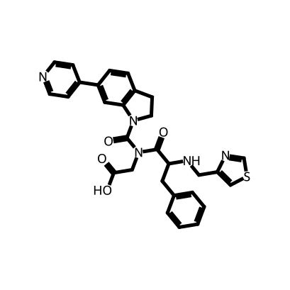 O=C(O)CN(C(=O)C(Cc1ccccc1)NCc1cscn1)C(=O)N1CCc2ccc(-c3ccncc3)cc21